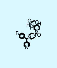 O=C1CO[C@H]2CCN(C(=O)N3CCN(C(c4ccncc4)c4ccc(F)cc4)CC3)C[C@H]2N1